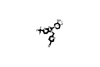 N#Cc1ccc(Cn2c(N3CC[C@@H](F)[C@H](N)C3)nc3nc(C(F)(F)F)ccc32)nc1